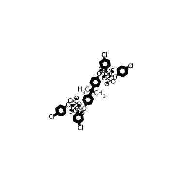 CC(C)(c1ccc(OS(=O)(=O)OS(=O)(=O)P(=S)(Oc2ccc(Cl)cc2)Oc2ccc(Cl)cc2)cc1)c1ccc(OS(=O)(=O)OS(=O)(=O)P(=S)(Oc2ccc(Cl)cc2)Oc2ccc(Cl)cc2)cc1